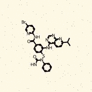 CC(C)c1ccc2c(Nc3cc(C(=O)Nc4ccc(Br)cn4)ccc3SN(C([NH])=O)c3ccccc3)ncnc2n1